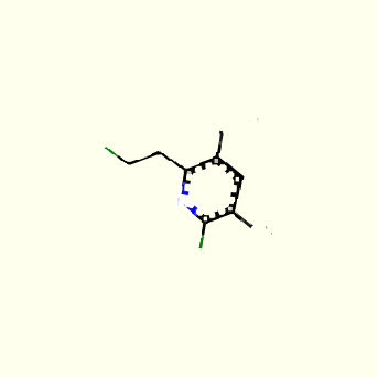 CCOC(=O)c1cc(C#N)c(Cl)nc1CCF